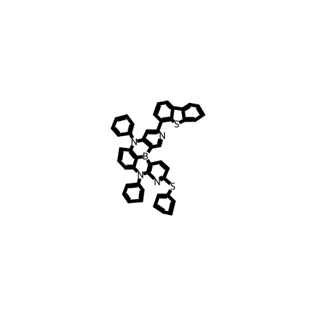 c1ccc(Sc2ccc3c(n2)N(c2ccccc2)c2cccc4c2B3c2cnc(-c3cccc5c3sc3ccccc35)cc2N4c2ccccc2)cc1